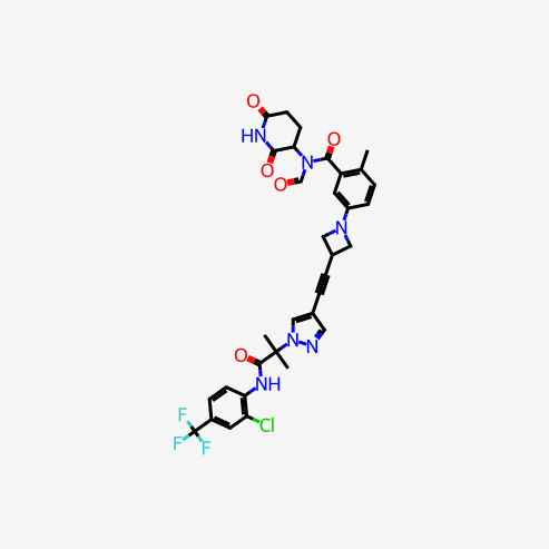 Cc1ccc(N2CC(C#Cc3cnn(C(C)(C)C(=O)Nc4ccc(C(F)(F)F)cc4Cl)c3)C2)cc1C(=O)N(C=O)C1CCC(=O)NC1=O